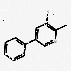 Cc1ncc(-c2ccccc2)cc1N